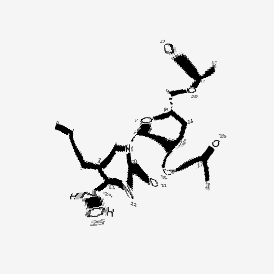 C=CCc1cn([C@@H]2O[C@H](COC(C)=O)C[C@H]2OC(C)=O)c(=O)nc1NO